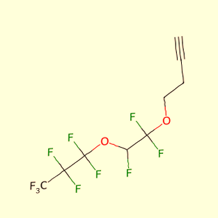 C#CCCOC(F)(F)C(F)OC(F)(F)C(F)(F)C(F)(F)F